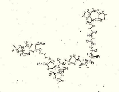 COc1cc2c(cc1OCCCOc1cc3c(cc1OC)C(=O)N1CC4(CC4)C[C@H]1C(O)N3C(=O)OCc1ccc(NC(=O)[C@H](C)NC(=O)[C@@H](NC(=O)CNC(=O)CNC(=O)CCC(=O)N3Cc4ccccc4C#Cc4ccccc43)C(C)C)cc1)N=C[C@@H]1CC3(CC3)CN1C2=O